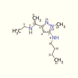 C=C(NCC)c1cc(NCCCC)n(C)n1